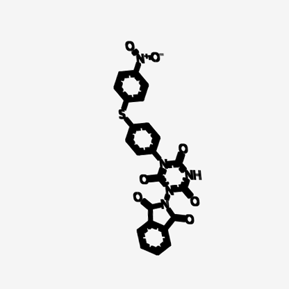 O=C1c2ccccc2C(=O)N1n1c(=O)[nH]c(=O)n(-c2ccc(Sc3ccc([N+](=O)[O-])cc3)cc2)c1=O